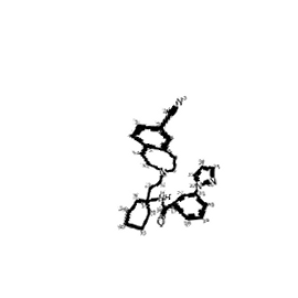 N#Cc1ccc2c(c1)CCN(CCC1(NC(=O)c3cccc(-n4cccn4)c3)CCCCC1)CC2